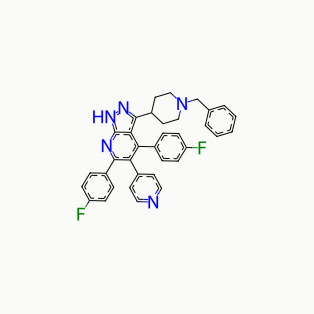 Fc1ccc(-c2nc3[nH]nc(C4CCN(Cc5ccccc5)CC4)c3c(-c3ccc(F)cc3)c2-c2ccncc2)cc1